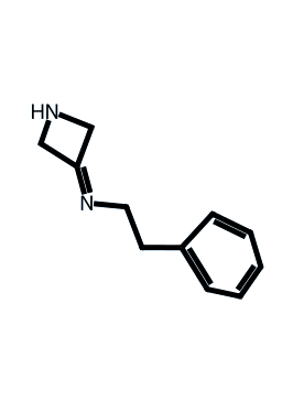 c1ccc(CCN=C2CNC2)cc1